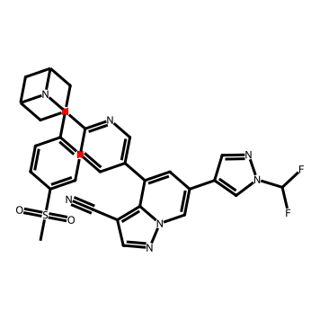 CS(=O)(=O)c1ccc(CN2C3CC2CN(c2ccc(-c4cc(-c5cnn(C(F)F)c5)cn5ncc(C#N)c45)cn2)C3)nc1